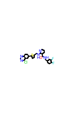 O=C(NCc1ccc(F)c(F)c1)c1cccnc1NCc1ccc(-c2ccc3ncnc(Cl)c3c2)s1